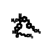 CCCCCC(=O)O.CCOc1cccc(Sc2ccc3[nH]c(C)c(C4CCN5CCCC5C4)c3c2)c1